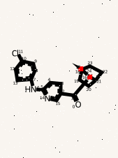 O=C(c1ccc(Nc2ccc(Cl)cc2)nc1)N1CC2CCC(CC2)C1